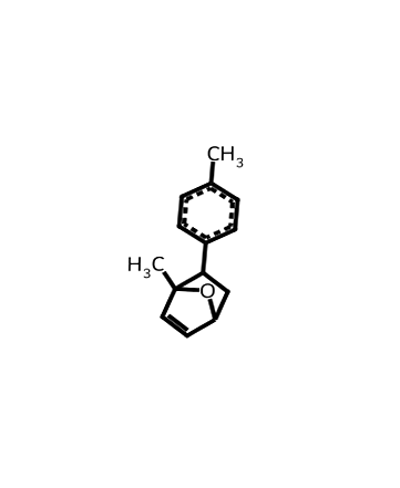 Cc1ccc(C2CC3C=CC2(C)O3)cc1